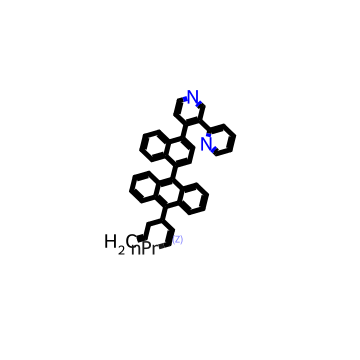 C=CCC(/C=C\CCC)c1c2ccccc2c(-c2ccc(-c3ccncc3-c3ccccn3)c3ccccc23)c2ccccc12